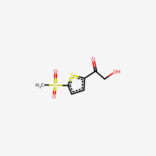 CS(=O)(=O)c1ccc(C(=O)CO)s1